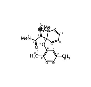 CNC(=O)/C(=N/OC)C1(Oc2cc(C)ccc2C)C=CC=CC1C